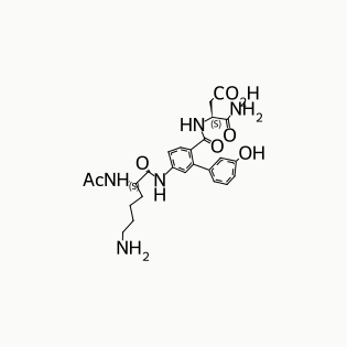 CC(=O)N[C@@H](CCCCN)C(=O)Nc1ccc(C(=O)N[C@@H](CC(=O)O)C(N)=O)c(-c2cccc(O)c2)c1